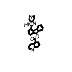 O=C(OC1c2ccccc2-c2c(-c3nc4ccncc4[nH]3)cccc21)c1cccc2ncccc12